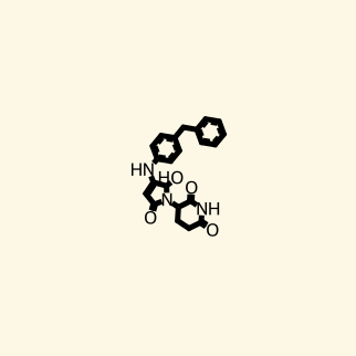 O=C1CCC(N2C(=O)C=C(Nc3ccc(Cc4ccccc4)cc3)C2O)C(=O)N1